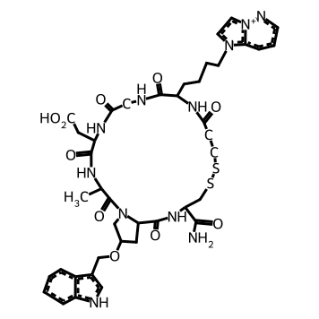 CC1NC(=O)C(CC(=O)O)NC(=O)CNC(=O)C(CCCCn2cc[n+]3ncccc23)NC(=O)CCSSCC(C(N)=O)NC(=O)C2CC(OCc3c[nH]c4ccccc34)CN2C1=O